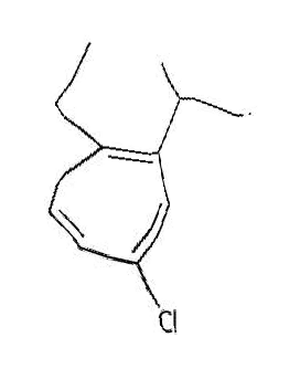 [CH2]C(C)c1cc(Cl)ccc1CC